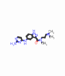 CN(C)CCCN(C)C(=O)c1n[nH]c2ccc(Nc3ccnc(N)n3)cc12